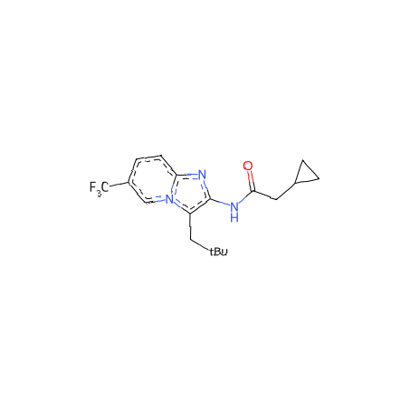 CC(C)(C)Cc1c(NC(=O)CC2CC2)nc2ccc(C(F)(F)F)cn12